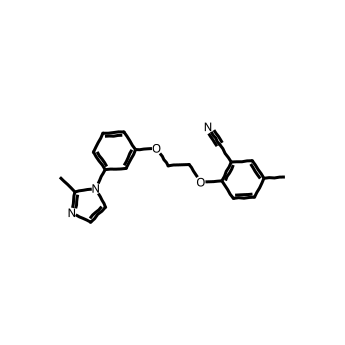 Cc1ccc(OCCOc2cccc(-n3ccnc3C)c2)c(C#N)c1